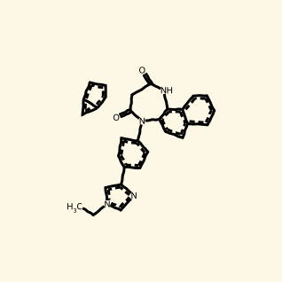 CCn1cnc(-c2ccc(N3C(=O)CC(=O)Nc4c3ccc3ccccc43)cc2)c1.c1cc2cc-2c1